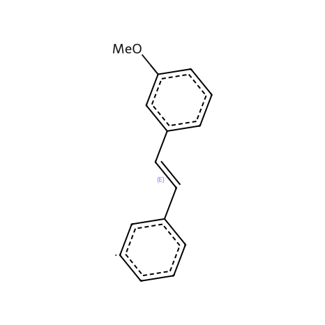 COc1cccc(/C=C/c2c[c]ccc2)c1